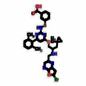 Cc1cccc(C)c1-c1cc(OCC(CC2(C)CC2)NCc2cnc3oc(Br)cc3n2)nc(NSc2cccc(C(=O)O)c2)n1